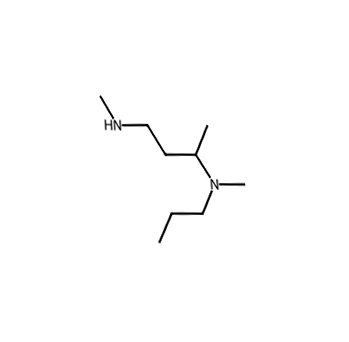 CCCN(C)C(C)CCNC